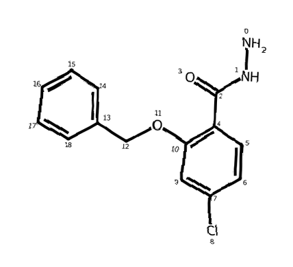 NNC(=O)c1ccc(Cl)cc1OCc1ccccc1